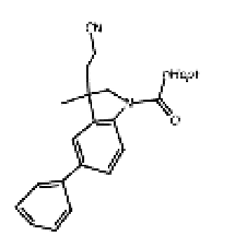 CCCCCCCC(=O)N1CC(C)(CCC#N)c2cc(-c3ccccc3)ccc21